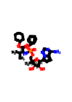 CC(C)[C@H](NP(=O)(OC[C@@]1(C)O[C@@H](c2ccc3c(N)ncnn23)[C@H](O)[C@@H]1O)Oc1ccccc1)C(=O)OC1CCCCC1